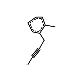 [CH2]C#CCc1ccccc1C